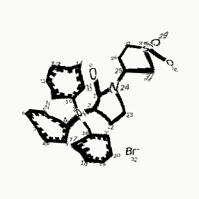 O=C1C([P+](c2ccccc2)(c2ccccc2)c2ccccc2)CCN1C1CCS(=O)(=O)C1.[Br-]